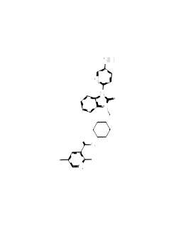 Cc1ncc(Cl)cc1C(=O)N[C@H]1CC[C@H](Cn2c(=O)n(-c3ccc(N)cn3)c3ccccc32)CC1